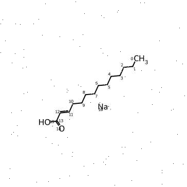 CCCCCCCCCCCC=CC(=O)O.[Na]